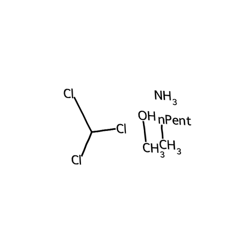 CCCCCC.CO.ClC(Cl)Cl.N